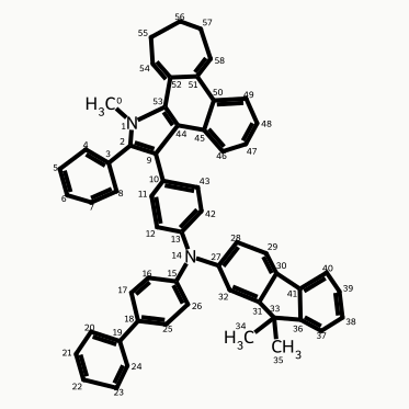 Cn1c(-c2ccccc2)c(-c2ccc(N(c3ccc(-c4ccccc4)cc3)c3ccc4c(c3)C(C)(C)c3ccccc3-4)cc2)c2c3ccccc3c3c(c21)=CCCCC=3